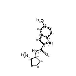 Cc1ccc2[nH]c(C(=O)N[C@H]3CCC[C@@H]3N)cc2c1